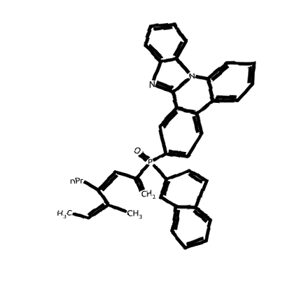 C=C(/C=C(CCC)\C(C)=C/C)P(=O)(c1ccc2ccccc2c1)c1ccc2c3ccccc3n3c4ccccc4nc3c2c1